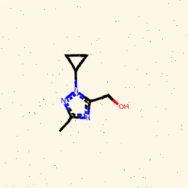 Cc1nc(CO)n(C2CC2)n1